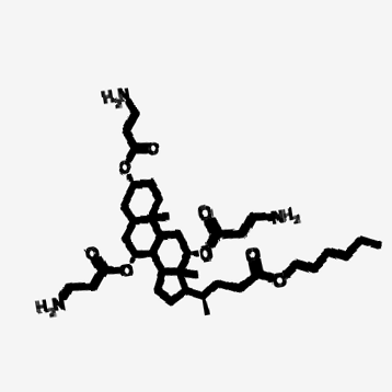 CCCCCCOC(=O)CC[C@@H](C)C1CCC2C3C(C[C@H](OC(=O)CCN)C21C)C1(C)CC[C@@H](OC(=O)CCN)CC1C[C@H]3OC(=O)CCN